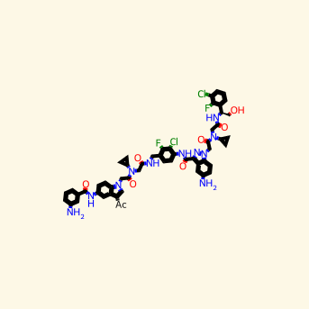 CC(=O)c1cn(CC(=O)N(CC(=O)NCc2ccc(NC(=O)c3nn(CC(=O)N(CC(=O)N[C@H](CO)c4cccc(Cl)c4F)C4CC4)c4ccc(N)cc34)c(Cl)c2F)C2CC2)c2ccc(NC(=O)c3cccc(N)c3)cc12